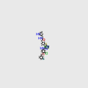 Cl.O=C(Cc1ccc2c(c1)sc1ncnc(Nc3ccc(OCc4cccc(F)c4)c(Cl)c3)c12)NCC1CCCNC1